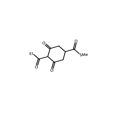 CCC(=O)C1C(=O)CC(C(=O)SC)CC1=O